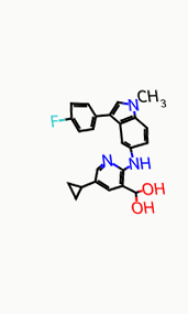 Cn1cc(-c2ccc(F)cc2)c2cc(Nc3ncc(C4CC4)cc3C(O)O)ccc21